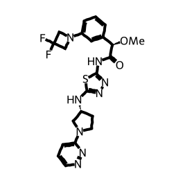 CO[C@@H](C(=O)Nc1nnc(N[C@@H]2CCN(c3cccnn3)C2)s1)c1cccc(N2CC(F)(F)C2)c1